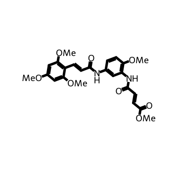 COC(=O)C=CC(=O)Nc1cc(NC(=O)/C=C/c2c(OC)cc(OC)cc2OC)ccc1OC